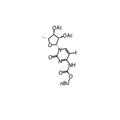 CCCCOC(=O)Nc1nc(=O)n([C@@H]2O[C@H](C)[C@@H](OC(C)=O)[C@H]2OC(C)=O)cc1I